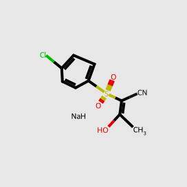 CC(O)=C(C#N)S(=O)(=O)c1ccc(Cl)cc1.[NaH]